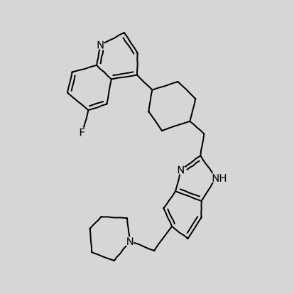 Fc1ccc2nccc(C3CCC(Cc4nc5cc(CN6CCCCC6)ccc5[nH]4)CC3)c2c1